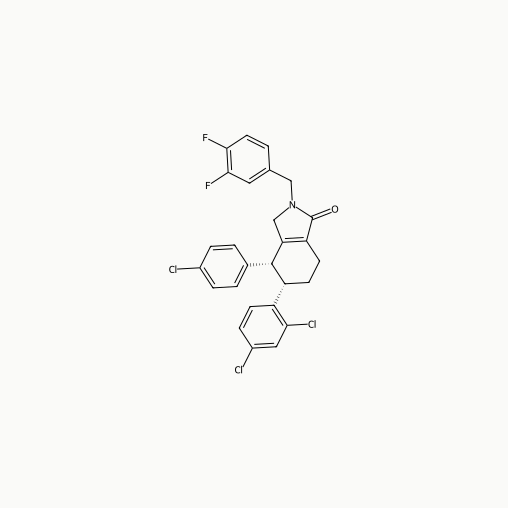 O=C1C2=C(CN1Cc1ccc(F)c(F)c1)[C@@H](c1ccc(Cl)cc1)[C@@H](c1ccc(Cl)cc1Cl)CC2